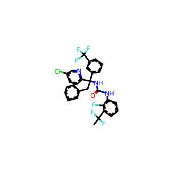 CC(F)(F)c1cccc(NC(=O)NC(Cc2ccccc2)(c2cccc(C(F)(F)F)c2)c2ccc(Cl)cn2)c1F